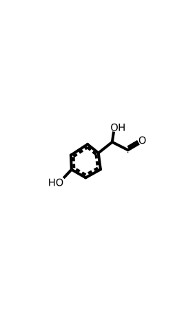 O=[C]C(O)c1ccc(O)cc1